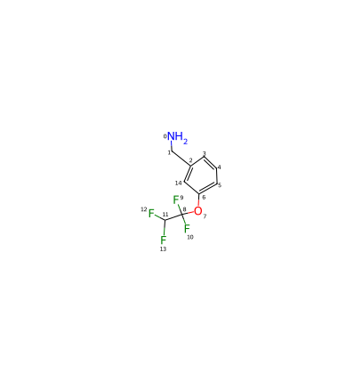 NCc1cccc(OC(F)(F)C(F)F)c1